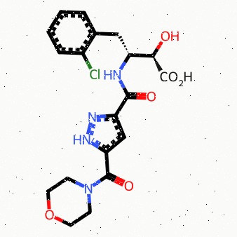 O=C(N[C@H](Cc1ccccc1Cl)[C@@H](O)C(=O)O)c1cc(C(=O)N2CCOCC2)[nH]n1